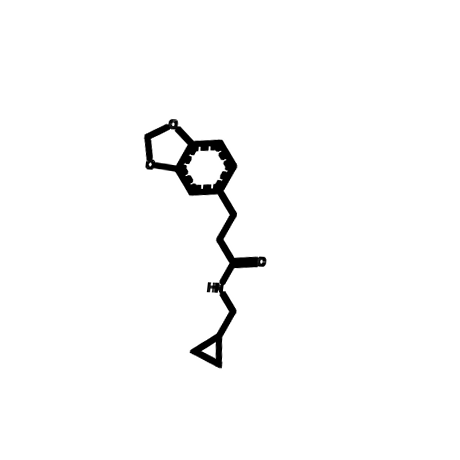 O=C(CCc1ccc2c(c1)OCO2)NCC1CC1